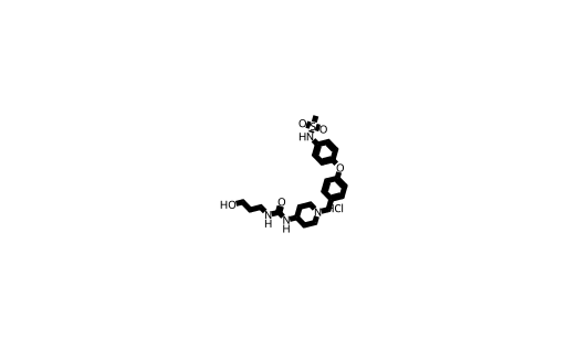 CS(=O)(=O)Nc1ccc(Oc2ccc(CN3CCC(NC(=O)NCCCO)CC3)cc2)cc1.Cl